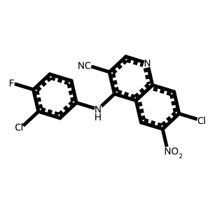 N#Cc1cnc2cc(Cl)c([N+](=O)[O-])cc2c1Nc1ccc(F)c(Cl)c1